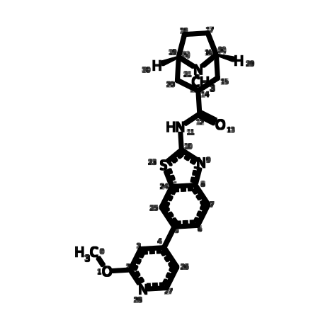 COc1cc(-c2ccc3nc(NC(=O)C4C[C@H]5CC[C@@H](C4)N5C)sc3c2)ccn1